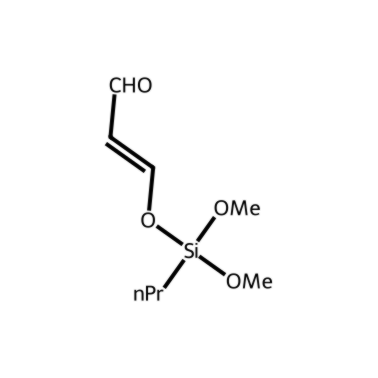 CCC[Si](OC)(OC)OC=CC=O